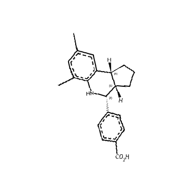 Cc1cc(C)c2c(c1)[C@@H]1CCC[C@@H]1[C@H](c1ccc(C(=O)O)cc1)N2